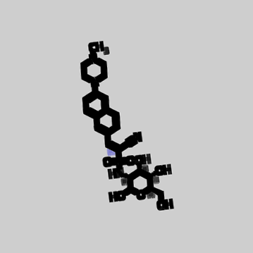 CN1CCN(c2ccc3cc(/C=C(\C#N)S(=O)(=O)N[C@H]4C(O)O[C@H](CO)[C@@H](O)[C@@H]4O)ccc3c2)CC1